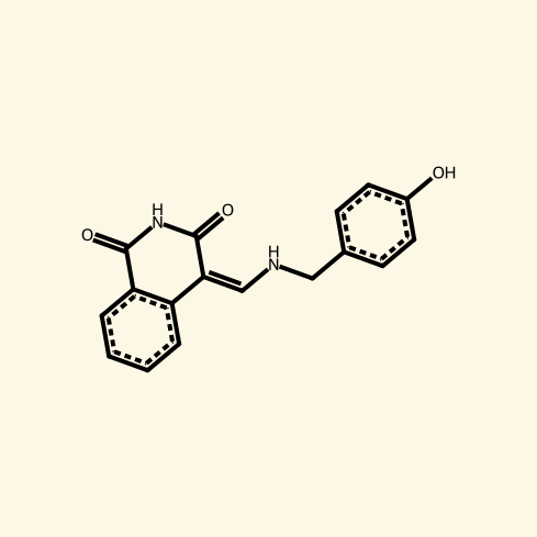 O=C1NC(=O)c2ccccc2/C1=C/NCc1ccc(O)cc1